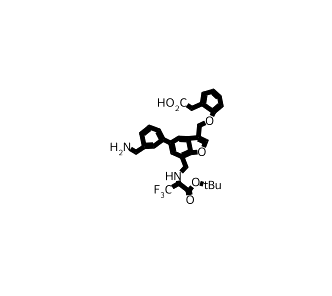 CC(C)(C)OC(=O)C(NCc1cc(-c2cccc(CN)c2)cc2c(COc3ccccc3CC(=O)O)coc12)C(F)(F)F